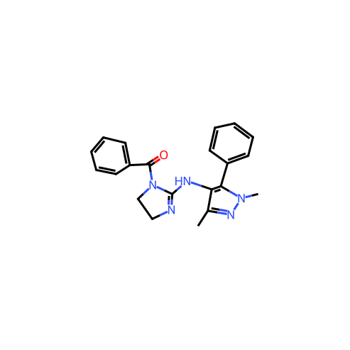 Cc1nn(C)c(-c2ccccc2)c1NC1=NCCN1C(=O)c1ccccc1